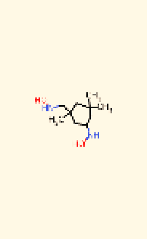 CC1(C)CC(NO)CC(C)(CNO)C1